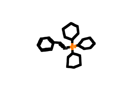 [CH](=[Ru][PH](C1CCCCC1)(C1CCCCC1)C1CCCCC1)c1ccccc1